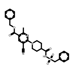 Cc1nc(N2CCC(C(=O)NS(=O)(=O)Cc3ccccc3)CC2)c(C#N)cc1C(=O)OCc1ccccc1